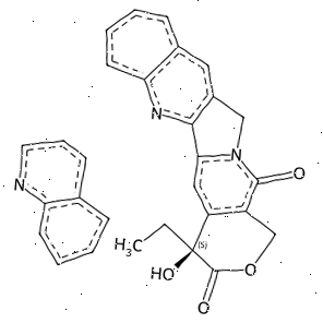 CC[C@@]1(O)C(=O)OCc2c1cc1n(c2=O)Cc2cc3ccccc3nc2-1.c1ccc2ncccc2c1